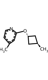 Cc1ccnc(O[C@H]2C[C@H](C)C2)c1